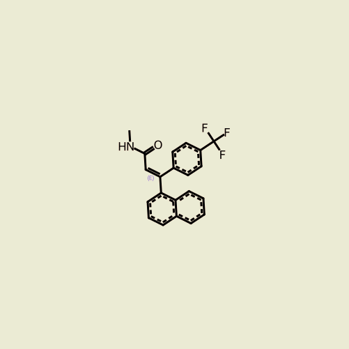 CNC(=O)/C=C(\c1ccc(C(F)(F)F)cc1)c1cccc2ccccc12